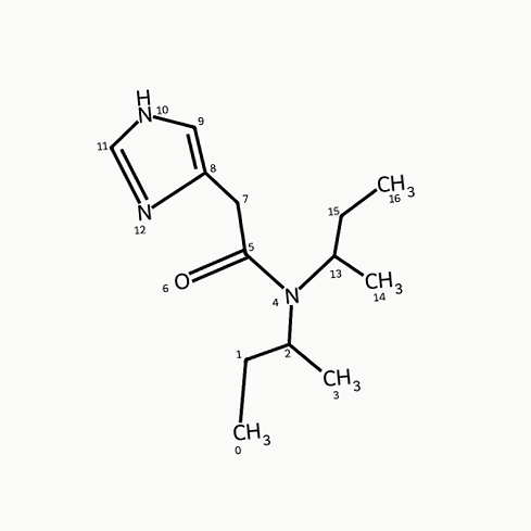 CCC(C)N(C(=O)Cc1c[nH]cn1)C(C)CC